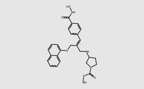 CC(C)(C)OC(=O)N1CCC(NC/C(=C/c2ccc(C(=O)NO)cc2)COc2cccc3ccccc23)C1